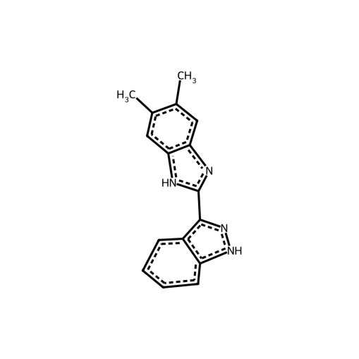 Cc1cc2nc(-c3n[nH]c4ccccc34)[nH]c2cc1C